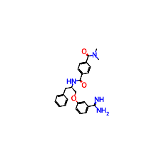 CN(C)C(=O)c1ccc(C(=O)N[C@@H](COc2cccc(C(=N)N)c2)Cc2ccccc2)cc1